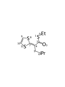 CCSC(=O)C(CC(C)C)=C1SC=CS1